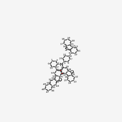 c1ccc(N(c2ccc(-c3cccc4c3sc3ccccc34)cc2)c2ccc3c(c2)oc2ccccc23)c(-c2ccc3oc4cc5ccccc5cc4c3c2)c1